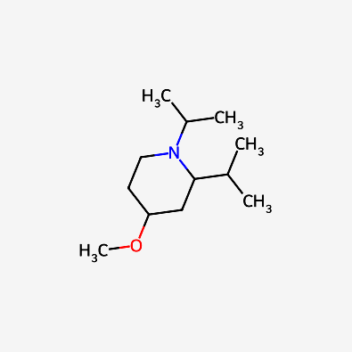 COC1CCN(C(C)C)C(C(C)C)C1